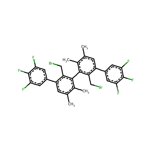 Cc1cc(-c2cc(F)c(F)c(F)c2)c(CBr)c(-c2c(C)c(C)cc(-c3cc(F)c(F)c(F)c3)c2CBr)c1C